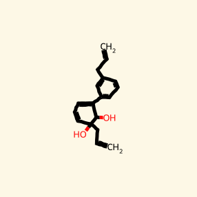 C=CCc1cccc(C2=CC=CC(O)(CC=C)C2O)c1